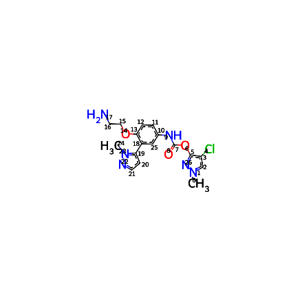 Cn1cc(Cl)c(OC(=O)Nc2ccc(OCCN)c(-c3ccnn3C)c2)n1